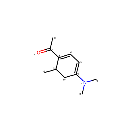 CC(=O)C1=CC=C(N(C)C)CC1C